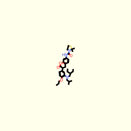 CCCOc1ccc(C(Cc2ccc(NC(=O)N3CCSC3(C)C)cc2)C(=O)O)cc1N(CC(C)C)CC(CC)CC